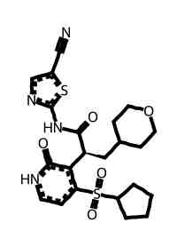 N#Cc1cnc(NC(=O)[C@@H](CC2CCOCC2)c2c(S(=O)(=O)C3CCCC3)cc[nH]c2=O)s1